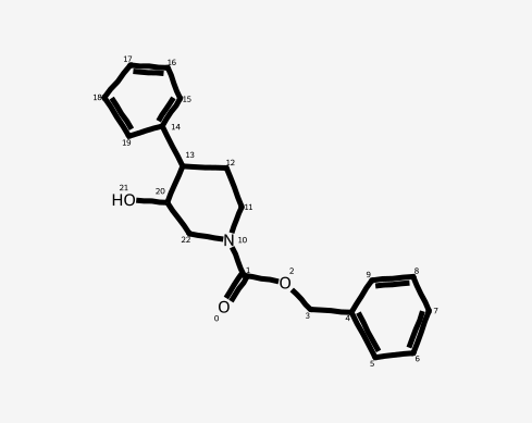 O=C(OCc1ccccc1)N1CCC(c2ccccc2)C(O)C1